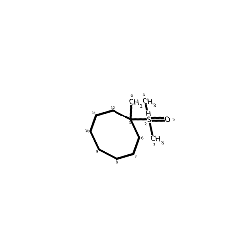 CC1([SH](C)(C)=O)CCCCCCC1